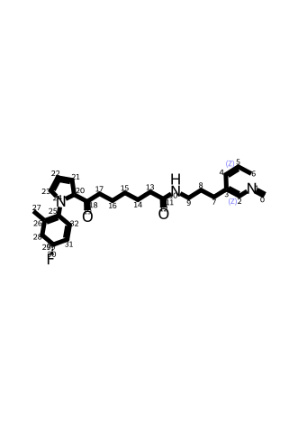 C=N/C=C(\C=C/C)CCCNC(=O)CCCCCC(=O)C1C=C=CN1C1=C(C)C[C@@H](F)C=C1